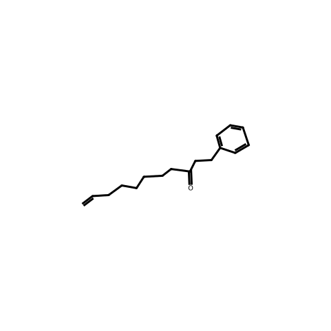 C=CCCCCCCC(=O)CCc1ccccc1